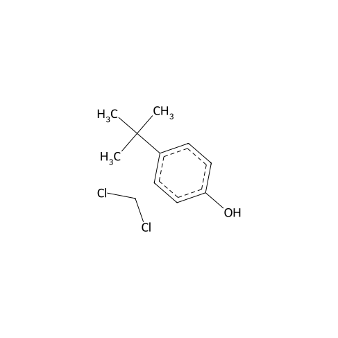 CC(C)(C)c1ccc(O)cc1.ClCCl